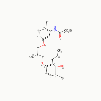 CCOC(=O)C(=O)Nc1cc(OCC(COc2ccc(C(C)=O)c(O)c2CCC(F)(F)F)OC(C)=O)ccc1C